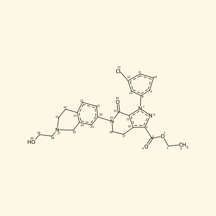 CCOC(=O)c1nn(-c2cccc(Cl)c2)c2c1CCN(c1ccc3c(c1)CN(CCO)CC3)C2=O